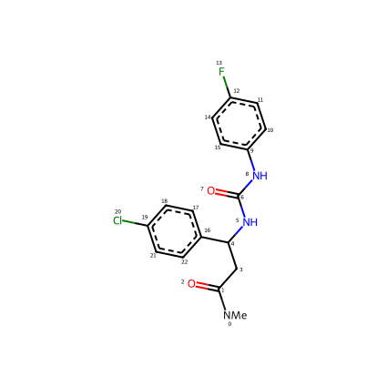 CNC(=O)CC(NC(=O)Nc1ccc(F)cc1)c1ccc(Cl)cc1